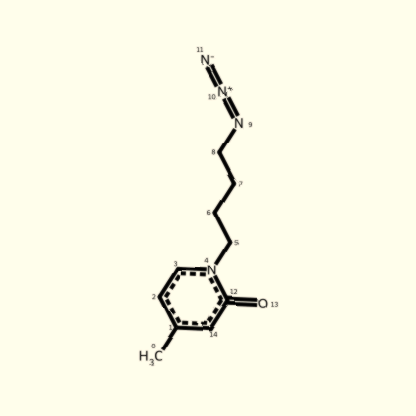 Cc1ccn(CCCCN=[N+]=[N-])c(=O)c1